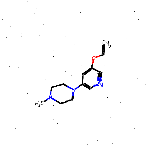 C=COc1cncc(N2CCN(C)CC2)c1